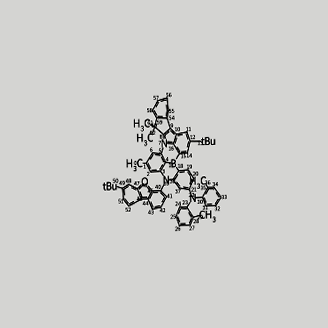 Cc1cc2c3c(c1)-n1c4c(c5cc(C(C)(C)C)cc(c51)B3c1ccc(N(c3ccccc3C)c3ccccc3C)cc1N2c1cccc2c1oc1cc(C(C)(C)C)ccc12)-c1ccccc1C4(C)C